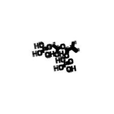 C=C(C)C(=O)OC(C)O.O=P(O)(O)O.O=P(O)(O)O